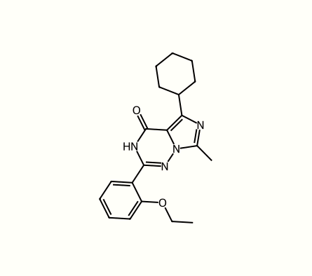 CCOc1ccccc1-c1nn2c(C)nc(C3CCCCC3)c2c(=O)[nH]1